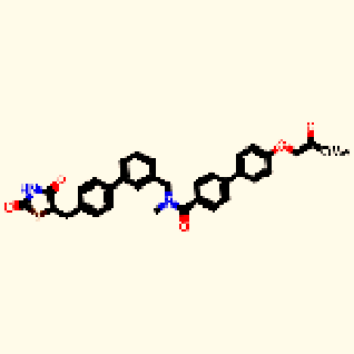 COC(=O)COc1ccc(-c2ccc(C(=O)N(C)Cc3cccc(-c4ccc(CC5SC(=O)NC5=O)cc4)c3)cc2)cc1